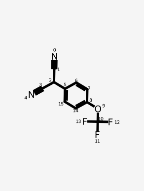 N#CC(C#N)c1ccc(OC(F)(F)F)cc1